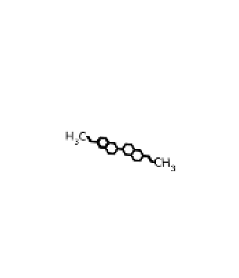 CC=Cc1ccc2c(c1)CCC(C1CCC3CC(C=CC)CCC3C1)C2